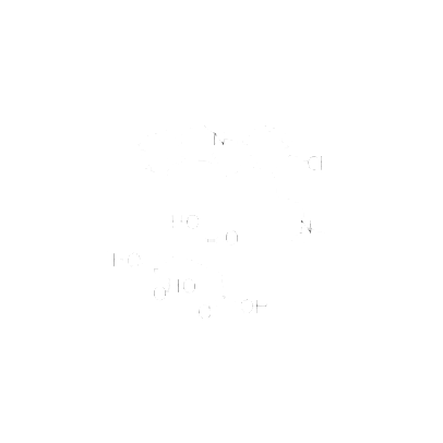 CN(C)CCc1c(Cl)ccc2c1cc1n2Cc2ccccc2-1.O=C(O)CC(O)(CC(=O)O)C(=O)O